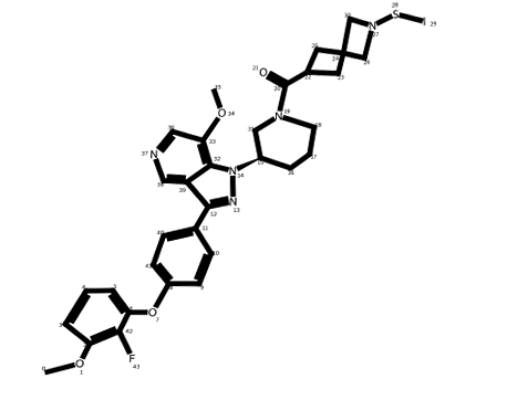 COc1cccc(Oc2ccc(-c3nn([C@@H]4CCCN(C(=O)C5CC6(C5)CN(SI)C6)C4)c4c(OC)cncc34)cc2)c1F